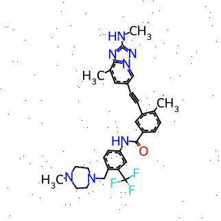 CNc1nc2c(C)cc(C#Cc3cc(C(=O)Nc4ccc(CN5CCN(C)CC5)c(C(F)(F)F)c4)ccc3C)cn2n1